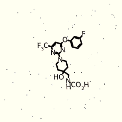 O=C(O)NCC1(O)CCN(c2nc(Oc3cccc(F)c3)cc(C(F)(F)F)n2)CC1